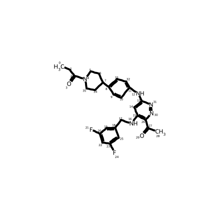 CCC(=O)N1CCC(c2ccc(Nc3cc(NCc4cc(F)cc(F)c4)c(C(C)=O)nn3)cc2)CC1